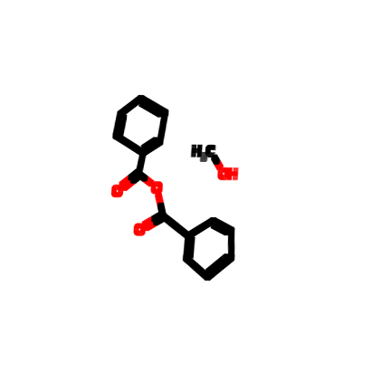 CO.O=C(OC(=O)c1ccccc1)c1ccccc1